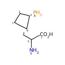 C1CCC1.CC(N)C(=O)O.P